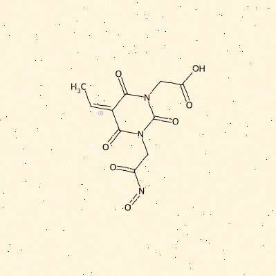 C/C=C1\C(=O)N(CC(=O)O)C(=O)N(CC(=O)N=O)C1=O